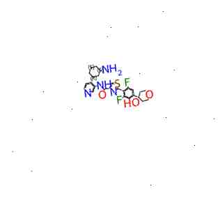 C[C@@H]1C[C@H](N)C[C@H](c2ccncc2NC(=O)c2csc(-c3c(F)cc(C4(O)CCOCC4)cc3F)n2)C1